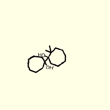 CC1(C)CCCCCCC1(O)C1(O)CCCCCCC1